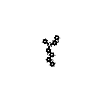 c1ccc(-c2nc(-c3ccc4oc5c(-c6cccc7c6oc6ccccc67)cccc5c4c3)nc(-c3ccc4sc5ccccc5c4c3)n2)cc1